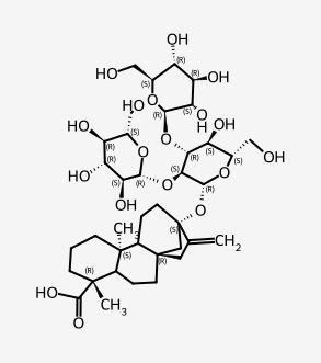 C=C1C[C@@]23CCC4[C@@](C)(CCC[C@@]4(C)C(=O)O)C2CC[C@]1(O[C@H]1O[C@@H](CO)[C@H](O)[C@@H](O[C@H]2O[C@@H](CO)[C@H](O)[C@@H](O)[C@@H]2O)[C@@H]1O[C@H]1O[C@@H](CO)[C@H](O)[C@@H](O)[C@@H]1O)C3